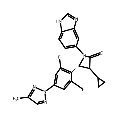 O=C1C(C2CC2)[C@H](c2c(F)cc(-n3ncc(C(F)(F)F)n3)cc2F)N1c1ccc2[nH]cnc2c1